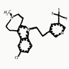 CN1CCc2c(n(CCc3cncc(C(F)(F)F)c3)c3ccc(Cl)cc23)CC1